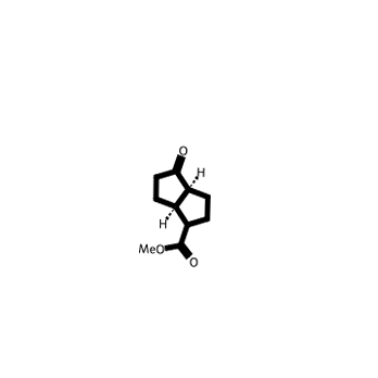 COC(=O)C1CC[C@@H]2C(=O)CC[C@H]12